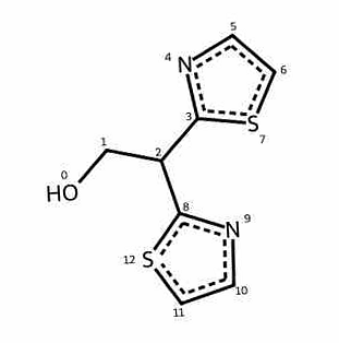 OCC(c1nccs1)c1nccs1